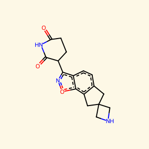 O=C1CCC(c2noc3c4c(ccc23)CC2(CNC2)C4)C(=O)N1